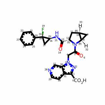 O=C(O)c1nn(CC(=O)N2[C@@H]3C[C@@H]3C[C@H]2C(=O)N[C@H]2C[C@]2(F)c2ccccc2)c2cnccc12